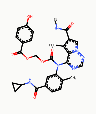 CCNC(=O)c1cn2ncnc(N(C(=O)OCOC(=O)c3ccc(O)cc3)c3cc(C(=O)NC4CC4)ccc3C)c2c1C